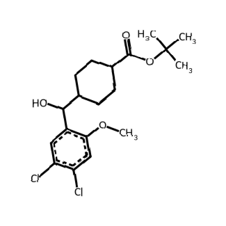 COc1cc(Cl)c(Cl)cc1C(O)C1CCC(C(=O)OC(C)(C)C)CC1